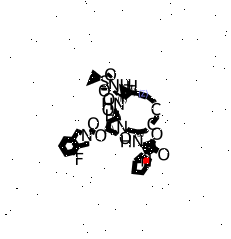 O=C1N[C@]2(C(=O)NS(=O)(=O)C3CC3)C[C@H]2/C=C\CCCCC[C@H](Nc2c(N3C4CCC3CC4)c(=O)c2=O)C(=O)N2C[C@H](OC(=O)N3Cc4cccc(F)c4C3)C[C@@H]12